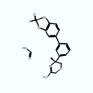 CC1(c2cccc(-c3ccc4c(c3)OC(F)(F)O4)c2)COCC(N)=N1.O=CO